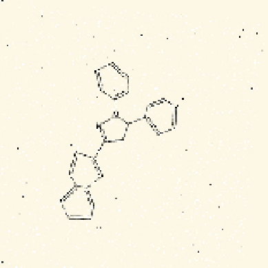 c1ccc(C2CC(c3ccc4ccccc4c3)=NN2c2ccccc2)cc1